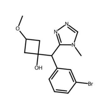 COC1CC(O)(C(c2cccc(Br)c2)c2nncn2C)C1